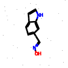 O/N=C/c1ccc2cc[nH]c2c1